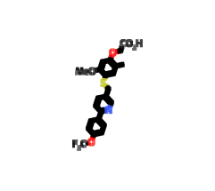 COc1cc(OCC(=O)O)c(C)cc1SCc1ccc(-c2ccc(OC(F)(F)F)cc2)nc1